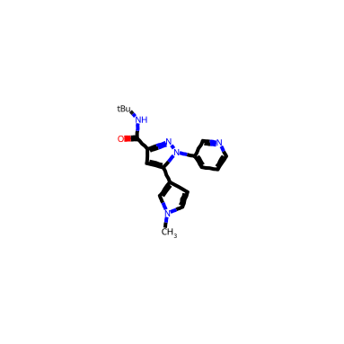 Cn1ccc(-c2cc(C(=O)NC(C)(C)C)nn2-c2cccnc2)c1